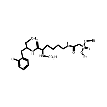 CCOP(=O)(CC(=O)NCCCCC(NC(=O)O)C(=O)NC(CO)Cc1ccccc1Cl)OCC